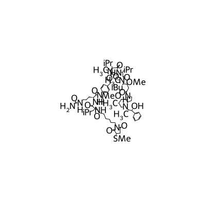 CC[C@H](C)[C@@H]([C@@H](CC(=O)N1CCC[C@H]1[C@H](OC)[C@@H](C)CN[C@H](C)[C@@H](O)c1ccccc1)OC)N(C)C(=O)[C@@H](NC(=O)[C@H](C(C)C)N(C)C(=O)OCc1ccc(NC(=O)[C@H](CCCNC(N)=O)NC(=O)[C@@H](NC(=O)CCCCCN2C(=O)CC(SC)C2=O)C(C)C)cc1)C(C)C